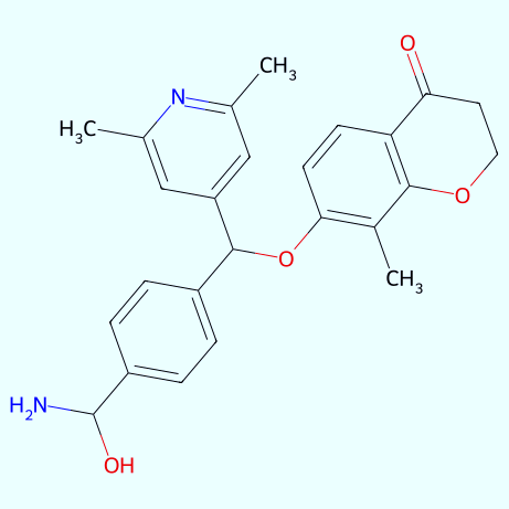 Cc1cc(C(Oc2ccc3c(c2C)OCCC3=O)c2ccc(C(N)O)cc2)cc(C)n1